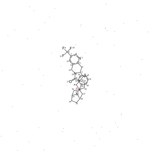 CC1C2Cc3ncc(C(F)(F)F)cc3CN2C(=O)C12CCC(N1C3CCC1CC(c1ccccc1)C3)C2